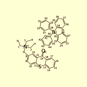 CC[N+](CC)(CC)Cc1ccc2sc3ccccc3c(=O)c2c1.c1ccc([B-](c2ccccc2)(c2ccccc2)c2ccccc2)cc1